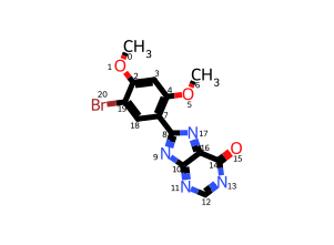 COc1cc(OC)c(C2=NC3=NC=NC(=O)C3=N2)cc1Br